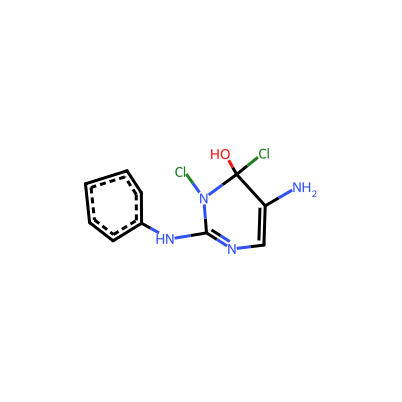 NC1=CN=C(Nc2ccccc2)N(Cl)C1(O)Cl